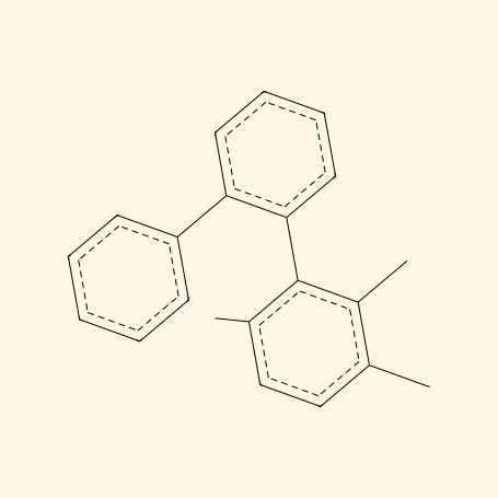 Cc1ccc(C)c(-c2ccccc2-c2ccccc2)c1C